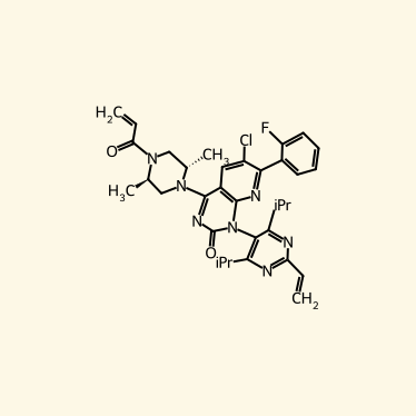 C=CC(=O)N1C[C@H](C)N(c2nc(=O)n(-c3c(C(C)C)nc(C=C)nc3C(C)C)c3nc(-c4ccccc4F)c(Cl)cc23)C[C@H]1C